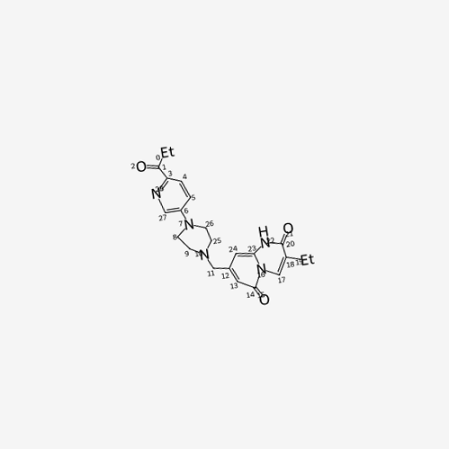 CCC(=O)c1ccc(N2CCN(Cc3cc(=O)n4cc(CC)c(=O)[nH]c4c3)CC2)cn1